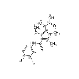 COc1c(C(=O)Nc2ccc(F)c(F)c2)c(C)n(C)c1C(O)C(=O)O